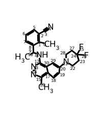 Cc1c(C#N)cccc1C(C)Nc1nnc(C)c2ccc(N3CCC(F)(F)CC3)cc12